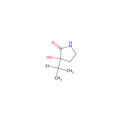 CCC(C)(C)C1(O)CCNC1=O